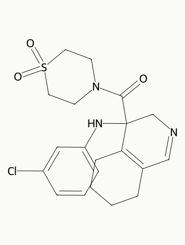 O=C(N1CCS(=O)(=O)CC1)C1(Nc2cccc(Cl)c2)CN=CC2=C1CCCC2